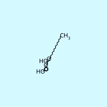 CCCCCCCCCCCCCCCOCC(O)COc1cccc(O)c1